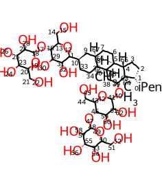 CCC[C@@H](C)[C@H]1CC[C@H]2[C@@H]3CC[C@@H]4C[C@H]([C@@H]5OC(CO)[C@@H](O[C@H]6OC(CO)[C@@H](O)[C@H](O)C6O)C(O)[C@@H]5O)CC[C@]4(C)[C@H]3C[C@H](O[C@@H]3OC(CO)[C@@H](O[C@H]4OC(CO)[C@@H](O)[C@H](O)C4O)C(O)C3O)[C@]12C